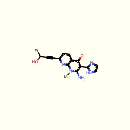 CCC(O)C#Cc1ccc2c(=O)c(-c3ncc[nH]3)c(N)n(CC)c2n1